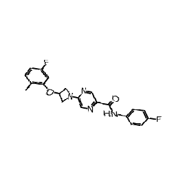 Cc1ccc(F)cc1OC1CN(c2cnc(C(=O)Nc3ccc(F)cc3)cn2)C1